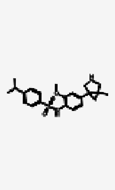 COc1cc(C23CNCC2(C)C3)ccc1NS(=O)(=O)c1ccc(C(C)C)cc1